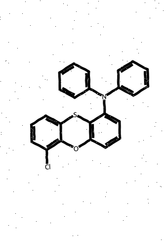 Clc1cccc2c1Oc1cccc(N(c3ccccc3)c3ccccc3)c1S2